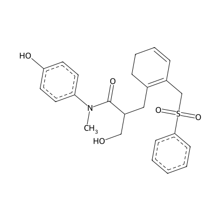 CN(C(=O)C(CO)CC1=C(CS(=O)(=O)c2ccccc2)C=CCC1)c1ccc(O)cc1